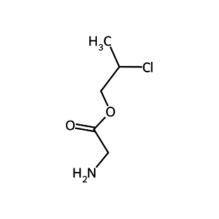 CC(Cl)COC(=O)CN